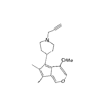 C#CCN1CCC(c2c(C)c(C)c3cocc(OC)c2-3)CC1